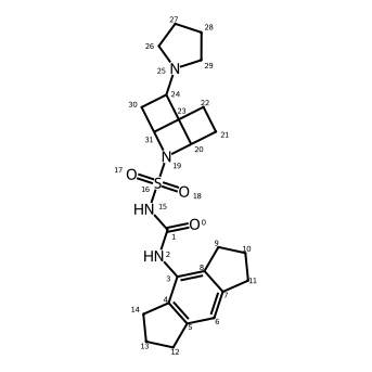 O=C(Nc1c2c(cc3c1CCC3)CCC2)NS(=O)(=O)N1C2CCC23C(N2CCCC2)CC13